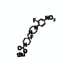 CC(C)(C)OC(=O)N1CCC(F)(CN2CCN(c3ccc([N+](=O)[O-])cc3F)CC2)CC1